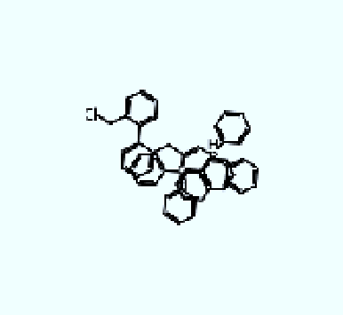 ClCc1ccccc1-c1ccccc1C/C(=C/[PH](c1ccccc1)(c1ccccc1)c1ccccc1)[PH](c1ccccc1)(c1ccccc1)c1ccccc1